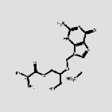 CC(=O)O.CC(C)[C@H](N)C(=O)OCC(CO)OCn1cnc2c(=O)nc(N)[nH]c21